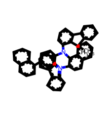 CC1(C)c2ccccc2-c2cccc(N(c3ccc(-c4cccc5ccccc45)cc3)c3c(-n4c5ccccc5c5ccccc54)ccc4ccccc34)c21